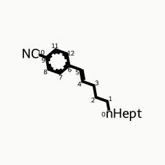 CCCCCCCCCCC=Cc1ccc(C#N)cc1